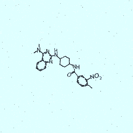 Cc1ccc(C(=O)NC2CCC(Nc3nc(N(C)C)c4ccccc4n3)CC2)cc1[N+](=O)[O-]